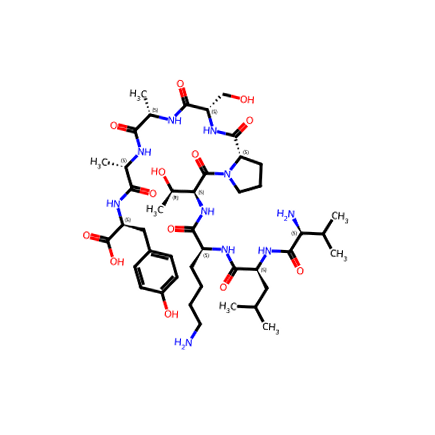 CC(C)C[C@H](NC(=O)[C@@H](N)C(C)C)C(=O)N[C@@H](CCCCN)C(=O)N[C@H](C(=O)N1CCC[C@H]1C(=O)N[C@@H](CO)C(=O)N[C@@H](C)C(=O)N[C@@H](C)C(=O)N[C@@H](Cc1ccc(O)cc1)C(=O)O)[C@@H](C)O